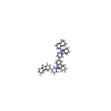 c1cc(-c2ccc3sc4ccccc4c3c2)cc(-n2c3ccccc3c3cc(-c4ccc5c(c4)c4ccccc4n5-c4cccc5ccccc45)ccc32)c1